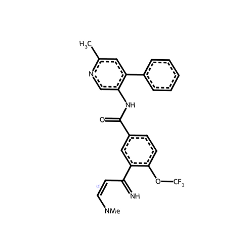 CN/C=C\C(=N)c1cc(C(=O)Nc2cnc(C)cc2-c2ccccc2)ccc1OC(F)(F)F